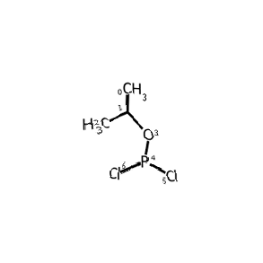 CC(C)OP(Cl)Cl